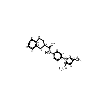 O=C(Nc1ccc(-n2nc(C(F)(F)F)cc2C(F)(F)F)cc1)C1CCc2ccccc2C1